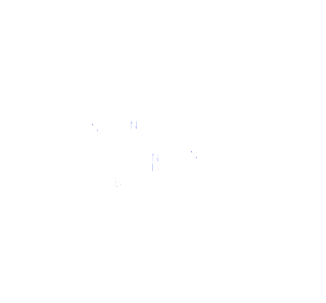 Brc1cncnc1NCN1CCCCC1